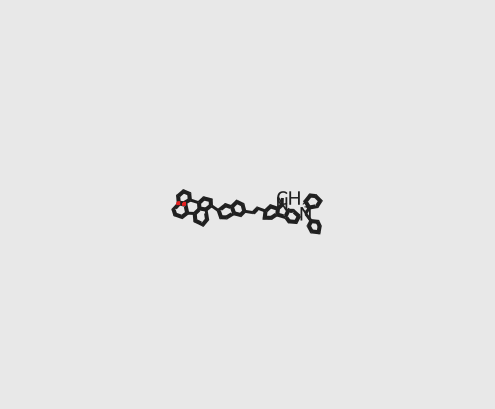 Cn1c2cc(/C=C/c3ccc4cc(-c5ccc(-c6ccccc6)c6c(-c7ccccc7)cccc56)ccc4c3)ccc2c2ccc(N(c3ccccc3)c3ccccc3)cc21